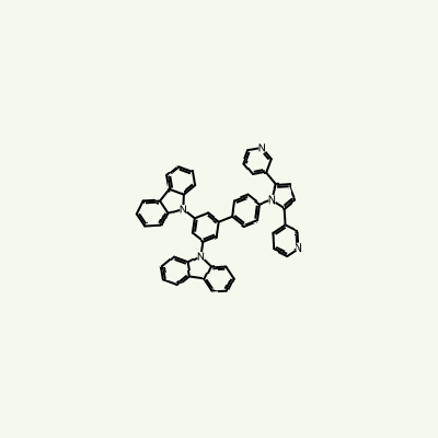 c1cncc(-c2ccc(-c3cccnc3)n2-c2ccc(-c3cc(-n4c5ccccc5c5ccccc54)cc(-n4c5ccccc5c5ccccc54)c3)cc2)c1